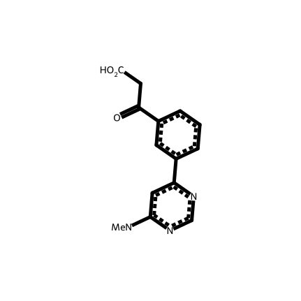 CNc1cc(-c2cccc(C(=O)CC(=O)O)c2)ncn1